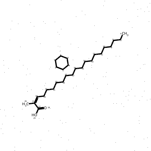 C1CCCCC1.CCCCCCCCCCCCCCCCCCC=C(C)C(=O)O